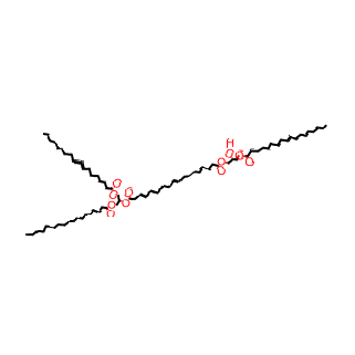 CCCCCCCCC=CCCCCCCCC(=O)OCC(O)COC(=O)CCCCCCCC=CCCCCCCCC(=O)OC(COC(=O)CCCCCCCC=CCCCCCCCC)COC(=O)CCCCCCCCCCCCCCCCC